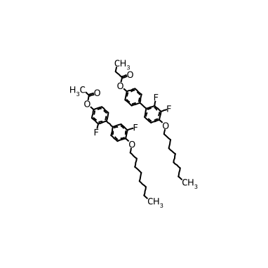 CCCCCCCCOc1ccc(-c2ccc(OC(=O)CC)cc2)c(F)c1F.CCCCCCCCOc1ccc(-c2ccc(OC(C)=O)cc2F)cc1F